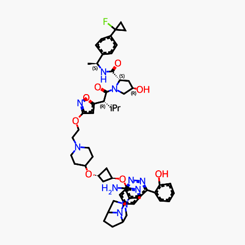 CC(C)[C@@H](C(=O)N1C[C@H](O)C[C@H]1C(=O)N[C@@H](C)c1ccc(C2(F)CC2)cc1)c1cc(OCCN2CCC(O[C@H]3C[C@H](Oc4cc(N5C6CCC5CN(c5cc(-c7ccccc7O)nnc5N)C6)ccn4)C3)CC2)no1